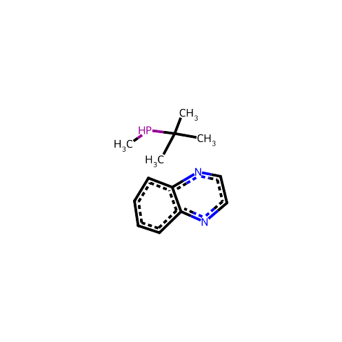 CPC(C)(C)C.c1ccc2nccnc2c1